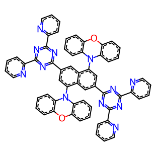 c1ccc(-c2nc(-c3cc(N4c5ccccc5Oc5ccccc54)c4cc(-c5nc(-c6ccccn6)nc(-c6ccccn6)n5)cc(N5c6ccccc6Oc6ccccc65)c4c3)nc(-c3ccccn3)n2)nc1